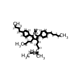 CCCCCc1ccc(C2=C(CCCC)C(CCCC)=C(c3ccc(CCCC)cc3)[N+]2=[N-])cc1.C[CH2][Pd][CH2]C